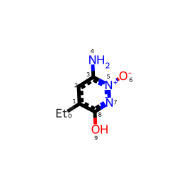 CCc1cc(N)[n+]([O-])nc1O